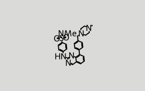 CNS(=O)(=O)c1ccc(Nc2ncc3cccc(-c4ccc(CN5CCN(C)CC5)cc4)c3n2)cc1